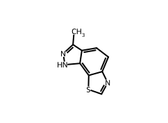 Cc1n[nH]c2c1ccc1ncsc12